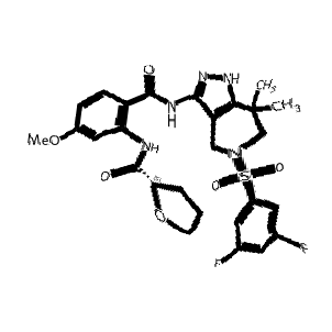 COc1ccc(C(=O)Nc2n[nH]c3c2CN(S(=O)(=O)c2cc(F)cc(F)c2)CC3(C)C)c(NC(=O)[C@@H]2CCCO2)c1